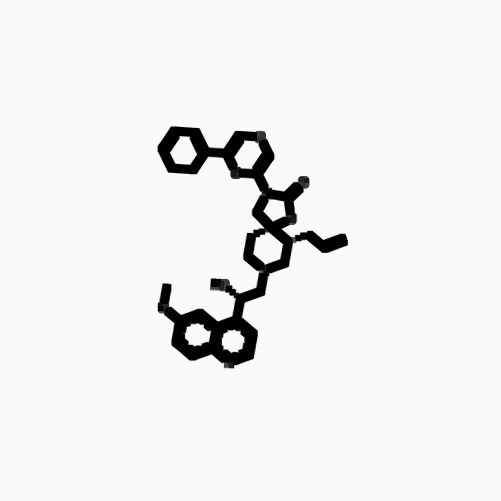 C=CC[C@@H]1CN(C[C@@H](O)c2ccnc3ccc(OC)cc23)CC[C@@]12CN(C1=COC=C(C3=CC=CCC3)O1)C(=O)O2